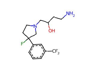 NCCC(O)CN1CCC(F)(c2cccc(C(F)(F)F)c2)C1